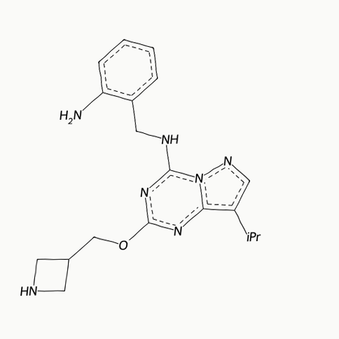 CC(C)c1cnn2c(NCc3ccccc3N)nc(OCC3CNC3)nc12